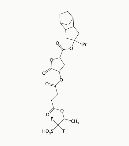 CC(C)C1(OC(=O)C2CC(OC(=O)CCC(=O)OC(C)C(F)(F)S(=O)(=O)O)C(=O)O2)CC2C3CCC(C3)C2C1